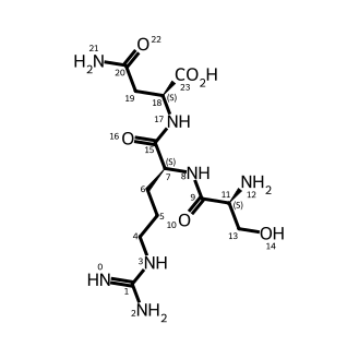 N=C(N)NCCC[C@H](NC(=O)[C@@H](N)CO)C(=O)N[C@@H](CC(N)=O)C(=O)O